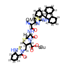 CON=C(C(=O)N[C@@H]1C(=O)N2C(C(=O)OC(C)(C)C)=C(CN3SNc4ccccc4C3=O)CS[C@H]12)c1csc(NC(c2ccccc2)(c2ccccc2)c2ccccc2)n1